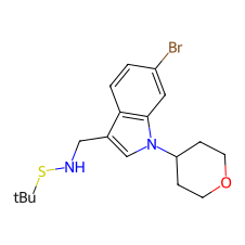 CC(C)(C)SNCc1cn(C2CCOCC2)c2cc(Br)ccc12